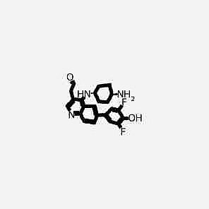 N[C@H]1CC[C@H](Nc2c(CC=O)cnc3ccc(-c4cc(F)c(O)c(F)c4)cc23)CC1